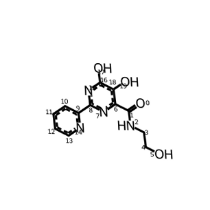 O=C(NCCO)c1nc(-c2ccccn2)nc(O)c1O